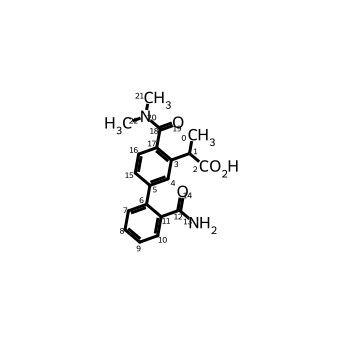 CC(C(=O)O)c1cc(-c2ccccc2C(N)=O)ccc1C(=O)N(C)C